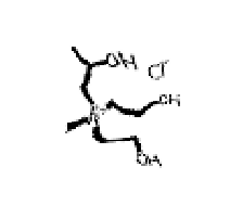 CC(O)C[N+](C)(CCO)CCO.[Cl-]